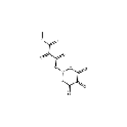 COC(=O)C(=O)C(=O)OB1OC(=O)C(=O)C(=O)O1